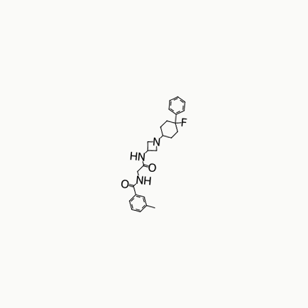 Cc1cccc(C(=O)NCC(=O)NC2CN(C3CCC(F)(c4ccccc4)CC3)C2)c1